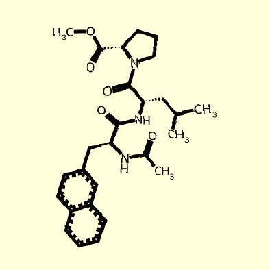 COC(=O)[C@@H]1CCCN1C(=O)[C@H](CC(C)C)NC(=O)[C@H](Cc1ccc2ccccc2c1)NC(C)=O